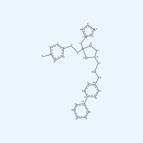 Cc1ccc(CCC2(Cn3ccnc3)OCC(COCc3ccc(-c4ccccc4)cc3)O2)cc1